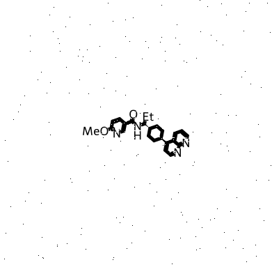 CCC(NC(=O)c1ccc(OC)nc1)[C@H]1CC[C@H](c2ccnc3ncccc32)CC1